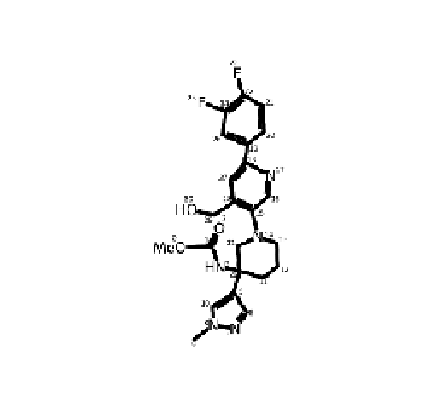 COC(=O)NC1(c2cnn(C)c2)CCCN(c2cnc(-c3ccc(F)c(F)c3)cc2CO)C1